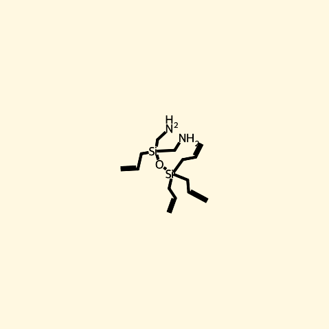 C=CC[Si](CN)(CN)O[Si](CC=C)(CC=C)CC=C